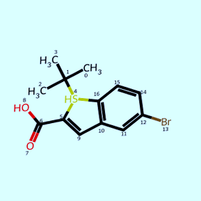 CC(C)(C)[SH]1C(C(=O)O)=Cc2cc(Br)ccc21